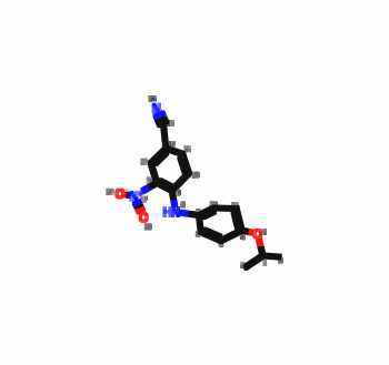 CC(C)Oc1ccc(Nc2ccc(C#N)cc2[N+](=O)[O-])cc1